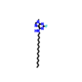 CCCCCCCCCCCCCCCCNc1nc(F)nc2c1ncn2C